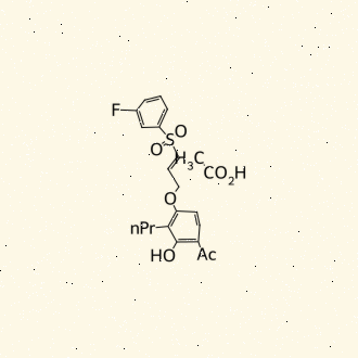 CC(=O)O.CCCc1c(OCC=CS(=O)(=O)c2cccc(F)c2)ccc(C(C)=O)c1O